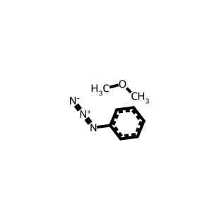 COC.[N-]=[N+]=Nc1ccccc1